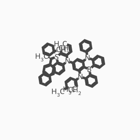 C=C(C)/C=C\C(=C/C)N1c2ccccc2B2c3ccccc3N(c3ccccc3)c3cc(N4C(/C=C\C)=C(C)[S@@]([C@H](C)c5ccccc5)(C5(C)C=CC=CC5)c5cc(-c6ccccc6)ccc54)cc1c32